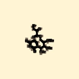 COC(COC(=O)C(=O)CC(C)C)C(OC(C)=O)C(OC(C)=O)n1ccc(=O)[nH]c1=O